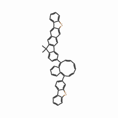 CC1(C)c2ccc(-c3ccccccc(-c4ccc5c(c4)sc4ccccc45)c4ccccc34)cc2-c2cc3cc4sc5ccccc5c4cc3cc21